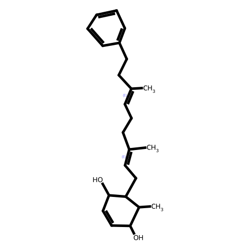 C/C(=C\CC1C(O)C=CC(O)C1C)CC/C=C(\C)CCc1ccccc1